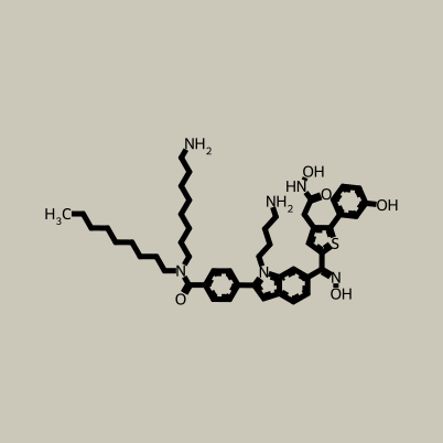 CCCCCCCCCN(CCCCCCCCN)C(=O)c1ccc(-c2cc3ccc(/C(=N\O)c4cc(CC(=O)NO)c(-c5cccc(O)c5)s4)cc3n2CCCCN)cc1